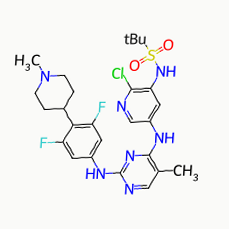 Cc1cnc(Nc2cc(F)c(C3CCN(C)CC3)c(F)c2)nc1Nc1cnc(Cl)c(NS(=O)(=O)C(C)(C)C)c1